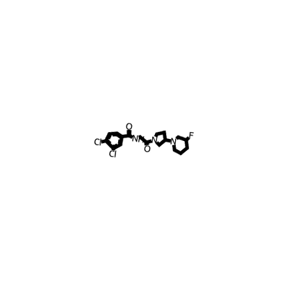 O=C(NCC(=O)N1CCC(N2CCCC(F)C2)C1)c1ccc(Cl)c(Cl)c1